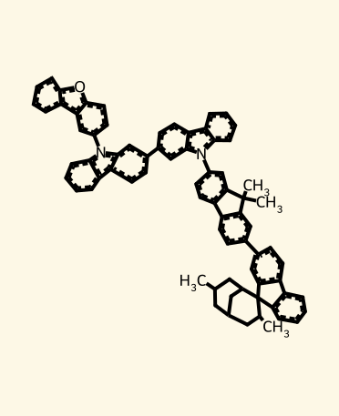 CC1CC2CC(C)C3(c4ccccc4-c4ccc(-c5ccc6c(c5)C(C)(C)c5cc(-n7c8ccccc8c8ccc(-c9ccc%10c%11ccccc%11n(-c%11ccc%12oc%13ccccc%13c%12c%11)c%10c9)cc87)ccc5-6)cc43)C(C1)C2